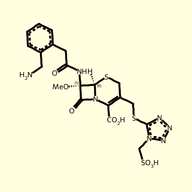 CO[C@@]1(NC(=O)Cc2ccccc2CN)C(=O)N2C(C(=O)O)=C(CSc3nnnn3CS(=O)(=O)O)CS[C@@H]21